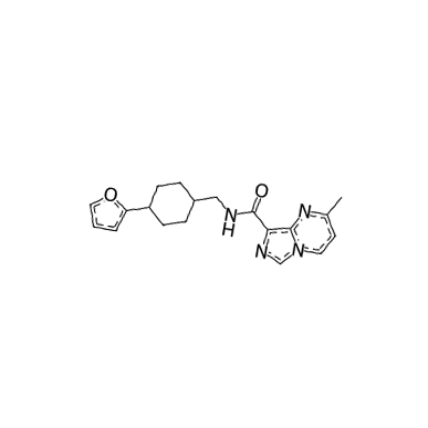 Cc1ccn2cnc(C(=O)NCC3CCC(c4ccco4)CC3)c2n1